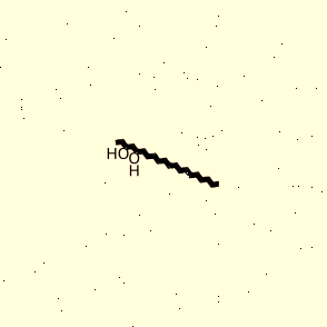 CCCCCCCCCCCCCCCC(O)CC(O)CC